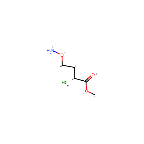 COC(=O)CCCON.Cl